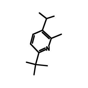 Cc1nc(C(C)(C)C)ccc1C(C)C